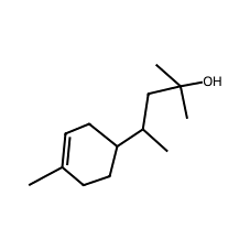 CC1=CCC(C(C)CC(C)(C)O)CC1